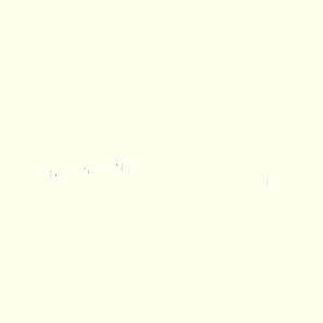 CC(=O)/C(=C/c1cc(F)c(F)cc1F)N=[N+]=[N-]